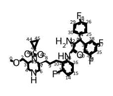 COCC1CNC[C@H](CCCc2c(F)cccc2NC(=O)[C@@H](N)[C@@H](c2ccc(F)cc2)c2cc(F)cc(F)c2)N1S(=O)(=O)C1CC1